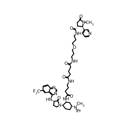 CC(C)N(C)[C@@H]1CC[C@H](N2CC[C@H](Nc3ncnc4ccc(C(F)(F)F)cc34)C2=O)[C@H](NC(=O)CCCNC(=O)CCCC(=O)NCCCOCCCNC(=O)[C@@H]2CC(=O)N(C)[C@H]2c2cccnc2)C1